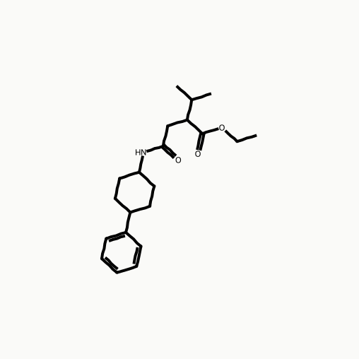 CCOC(=O)C(CC(=O)NC1CCC(c2ccccc2)CC1)C(C)C